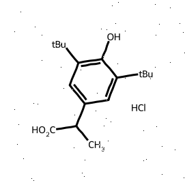 CC(C(=O)O)c1cc(C(C)(C)C)c(O)c(C(C)(C)C)c1.Cl